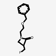 O=C1C(CF)CN1CCOCc1ccccc1